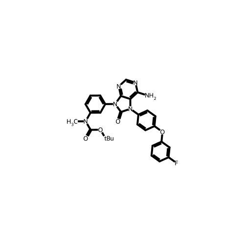 CN(C(=O)OC(C)(C)C)c1cccc(-n2c(=O)n(-c3ccc(Oc4cccc(F)c4)cc3)c3c(N)ncnc32)c1